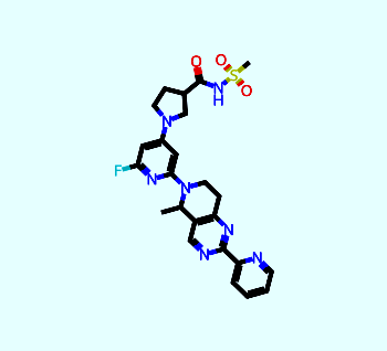 CC1c2cnc(-c3ccccn3)nc2CCN1c1cc(N2CCC(C(=O)NS(C)(=O)=O)C2)cc(F)n1